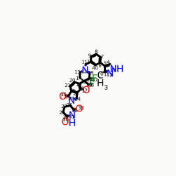 Cc1n[nH]cc1-c1cccc(CN2CC[C@]3(COc4c3ccc3c4CN([C@H]4CCC(=O)NC4=O)C3=O)C(F)(F)C2)c1